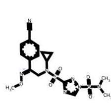 CO/N=C(\CN(C1CC1)S(=O)(=O)c1ncn(S(=O)(=O)N(C)C)n1)c1ccc(C#N)cc1